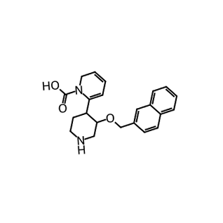 O=C(O)N1CC=CC=C1C1CCNCC1OCc1ccc2ccccc2c1